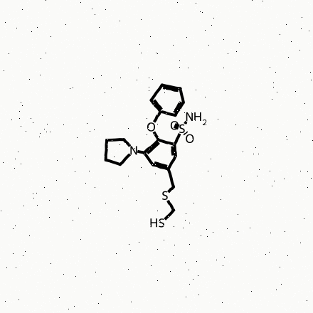 NS(=O)(=O)c1cc(CSCS)cc(N2CCCC2)c1Oc1ccccc1